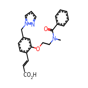 CN(CCOc1cc(Cn2cccn2)ccc1/C=C/C(=O)O)C(=O)c1ccccc1